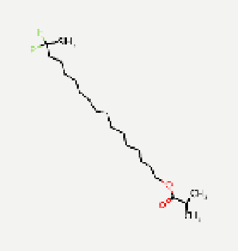 C=C(C)C(=O)OCCCCCCCCCCCCCCCC(F)(F)[SiH3]